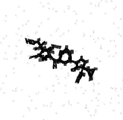 Cn1nc(Nc2cc(N3CC[C@@](C#N)(C4CC4)C3=O)ccn2)c(F)c1C(C)(C)CO